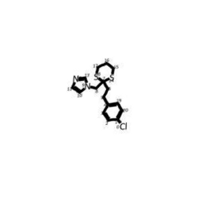 Clc1ccc(CCC2(Cn3ccnc3)SCCCS2)cc1